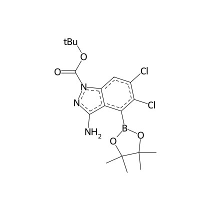 CC(C)(C)OC(=O)n1nc(N)c2c(B3OC(C)(C)C(C)(C)O3)c(Cl)c(Cl)cc21